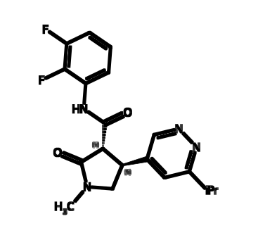 CC(C)c1cc([C@H]2CN(C)C(=O)[C@@H]2C(=O)Nc2cccc(F)c2F)cnn1